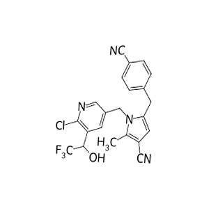 Cc1c(C#N)cc(Cc2ccc(C#N)cc2)n1Cc1cnc(Cl)c(C(O)C(F)(F)F)c1